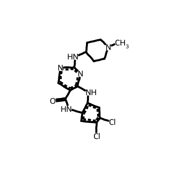 CN1CCC(Nc2ncc3c(n2)Nc2cc(Cl)c(Cl)cc2NC3=O)CC1